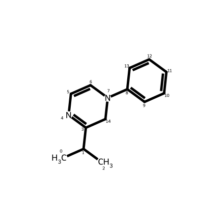 CC(C)C1=NC=CN(c2ccccc2)C1